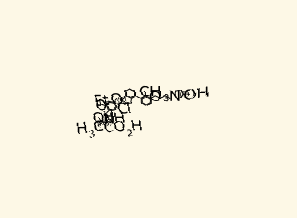 CCOc1cc(O[C@H]2CCc3c(-c4cccc(OCCCN5CC[C@@H](O)C5)c4C)cccc32)c(Cl)cc1CN[C@H](C(=O)O)[C@@H](C)O